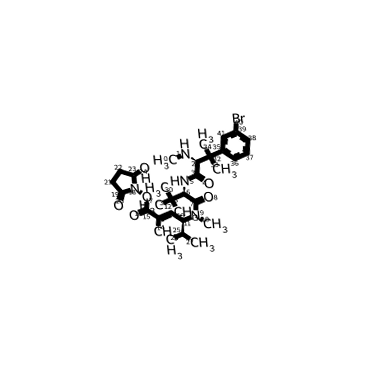 CN[C@@H](C(=O)N[C@H](C(=O)N(C)[C@H](/C=C(\C)C(=O)ON1C(=O)CCC1O)C(C)C)C(C)(C)C)C(C)(C)c1cccc(Br)c1